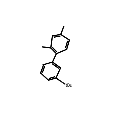 Cc1ccc(-c2[c]ccc(C(C)(C)C)c2)c(C)c1